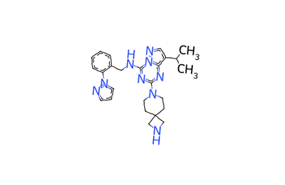 CC(C)c1cnn2c(NCc3ccccc3-n3cccn3)nc(N3CCC4(CC3)CNC4)nc12